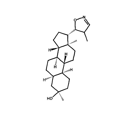 CC1C=NOC1[C@H]1CC[C@H]2[C@@H]3CC[C@@H]4C[C@](C)(O)CC[C@@H]4[C@H]3CC[C@]12C